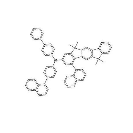 CC1(C)c2ccccc2-c2cc3c(cc21)-c1c(-c2cccc4ccccc24)cc(N(c2ccc(-c4ccccc4)cc2)c2ccc(-c4cccc5ccccc45)cc2)cc1C3(C)C